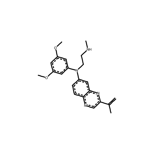 C=C(C)c1cnc2ccc(N(CCNC)c3cc(OC)cc(OC)c3)cc2n1